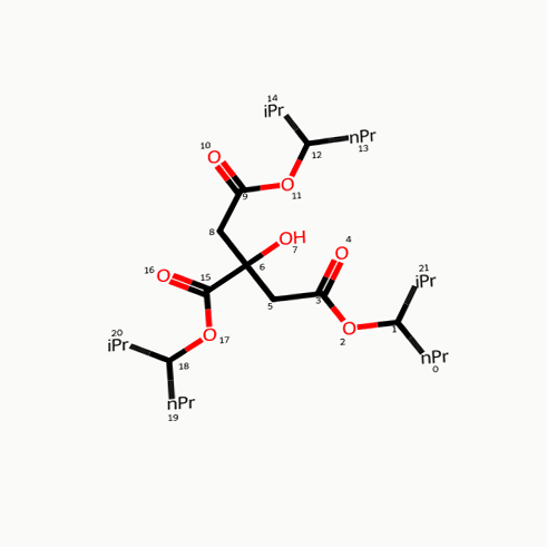 CCCC(OC(=O)CC(O)(CC(=O)OC(CCC)C(C)C)C(=O)OC(CCC)C(C)C)C(C)C